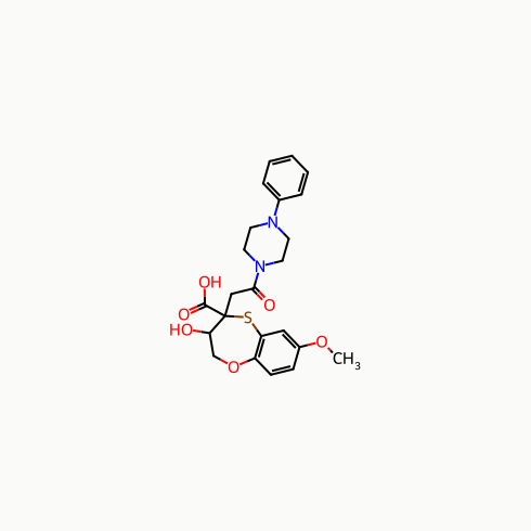 COc1ccc2c(c1)SC(CC(=O)N1CCN(c3ccccc3)CC1)(C(=O)O)C(O)CO2